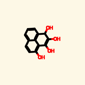 OC1=C(O)C(O)c2cccc3ccc(O)c1c23